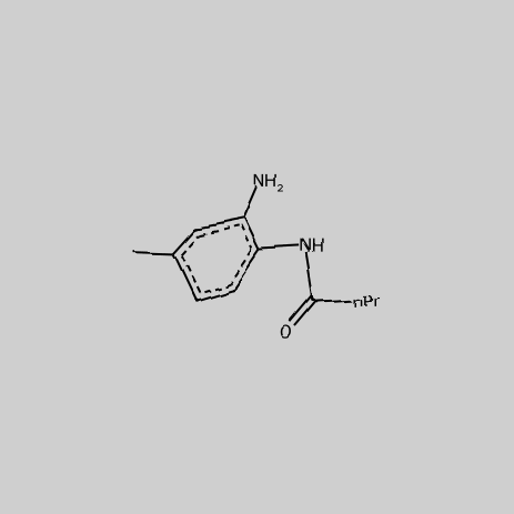 CCCC(=O)Nc1ccc(C)cc1N